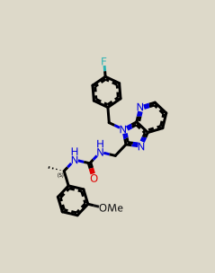 COc1cccc([C@H](C)NC(=O)NCc2nc3cccnc3n2Cc2ccc(F)cc2)c1